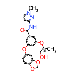 C[C@@H](CO)Oc1cc(Oc2ccc3c(c2)OCO3)cc(C(=O)Nc2ccn(C)n2)c1